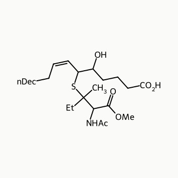 CCCCCCCCCCC/C=C\C(SC(C)(CC)C(NC(C)=O)C(=O)OC)C(O)CCCC(=O)O